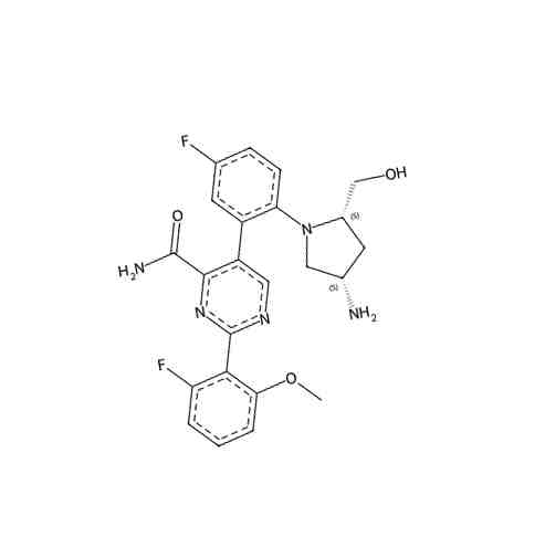 COc1cccc(F)c1-c1ncc(-c2cc(F)ccc2N2C[C@@H](N)C[C@H]2CO)c(C(N)=O)n1